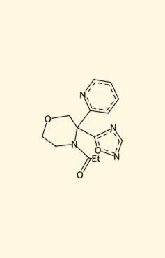 CCC(=O)N1CCOCC1(c1ccccn1)c1ncno1